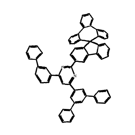 c1ccc(-c2cccc(-c3cc(-c4cc(-c5ccccc5)cc(-c5ccccc5)c4)nc(-c4ccc5c(c4)-c4ccccc4C54c5ccccc5-c5ccccc5-c5ccccc54)n3)c2)cc1